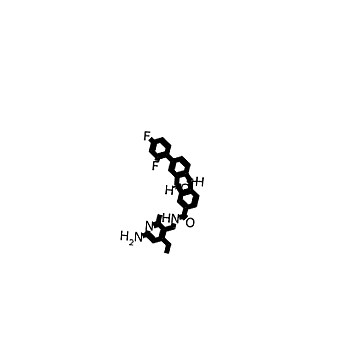 CCc1cc(N)nc(C)c1CNC(=O)c1ccc2c(c1)[C@@H]1O[C@H]2c2ccc(-c3ccc(F)cc3F)cc21